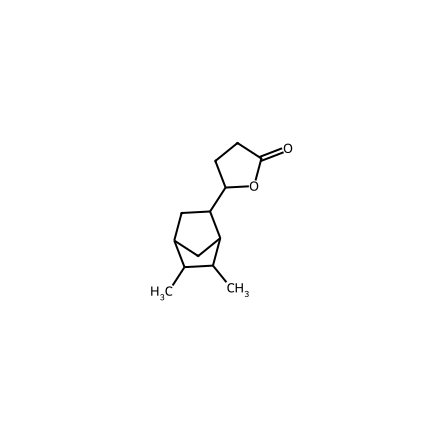 CC1C2CC(C3CCC(=O)O3)C(C2)C1C